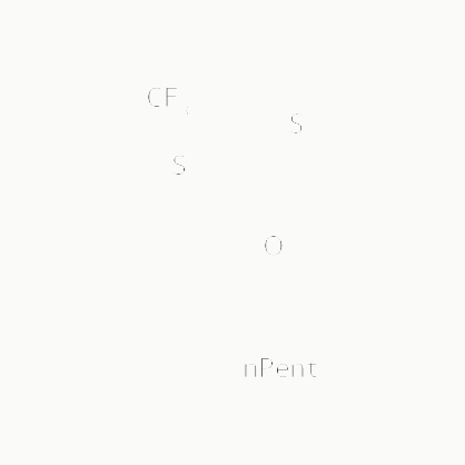 CCCCCCOC(=S)SC(F)(F)F